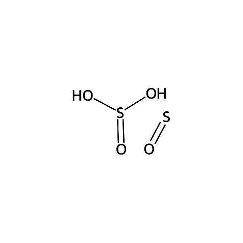 O=S.O=S(O)O